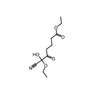 CCOC(=O)CCCC(=O)C(O)(C#N)OCC